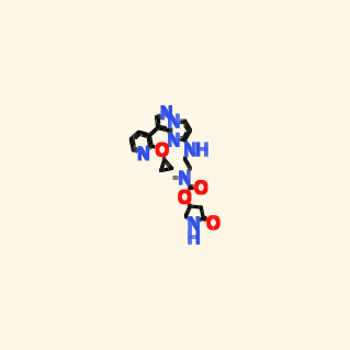 CN(CCNc1ccn2ncc(-c3cccnc3OC3CC3)c2n1)C(=O)O[C@@H]1CNC(=O)C1